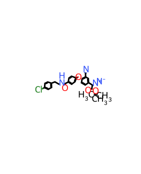 CC(C)(C)OC(=O)C(=[N+]=[N-])c1ccc(Oc2ccc(C(=O)NCCc3ccc(Cl)cc3)cc2)c(C#N)c1